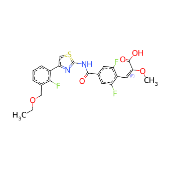 CCOCc1cccc(-c2csc(NC(=O)c3cc(F)c(/C=C(/OC)C(=O)O)c(F)c3)n2)c1F